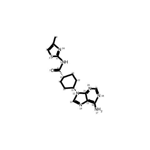 Cc1csc(NC(=O)[C@H]2CC[C@@H](n3cnc4c(N)ncnc43)CC2)n1